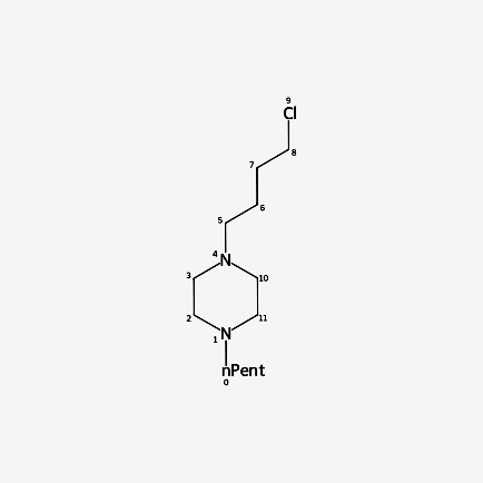 CCCCCN1CCN(CCCCCl)CC1